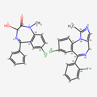 CN1C(=O)C(O)N=C(c2ccccc2)c2cc(Cl)ccc21.Cc1ncc2n1-c1ccc(Cl)cc1C(c1ccccc1F)=NC2